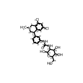 CN1Cc2c(Cl)cc(Cl)cc2C(c2cccc(NC(=O)NC3C(O)OC(CO)C(O)C3O)c2)C1